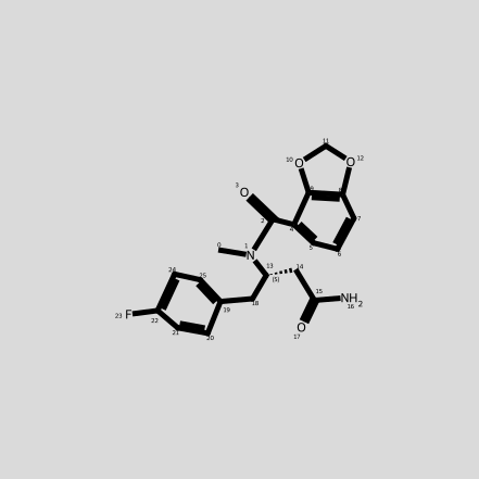 CN(C(=O)c1cccc2c1OCO2)[C@H](CC(N)=O)Cc1ccc(F)cc1